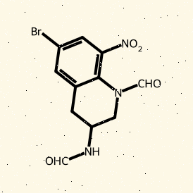 O=CNC1Cc2cc(Br)cc([N+](=O)[O-])c2N(C=O)C1